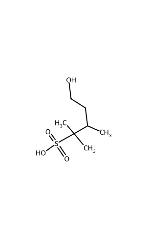 CC(CCO)C(C)(C)S(=O)(=O)O